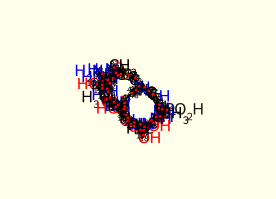 CC(C)[C@@H]1NC(=O)C([C@@H](C)O)NC(=O)[C@H](Cc2ccc(O)cc2)NC(=O)[C@@H]2CCCN2C(=O)[C@@H]2CCCN2C(=O)[C@@H]2CSCc3ccc(cc3)-c3nc(nc(n3)-c3ccc(cc3)CSC[C@@H](C(=O)N[C@@H](C)C(=O)O)NC1=O)-c1ccc(cc1)CSC[C@H](NC(=O)[C@H](C)N)C(=O)N[C@@H](CCCNC(=N)N)C(=O)N[C@@H](Cc1ccc(O)cc1)C(=O)NC([C@@H](C)O)C(=O)N[C@@H](CO)C(=O)N2